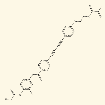 C=CC(=O)Oc1ccc(SC(=O)c2ccc(C#CC#Cc3ccc(OCCOC(=O)C(=C)C)cc3)cc2)cc1C